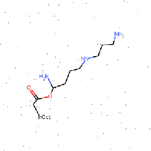 CCCCCCCCCC(=O)OC(N)CCCNCCCN